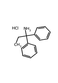 CCC(N)(c1ccccc1)c1ccccc1.Cl